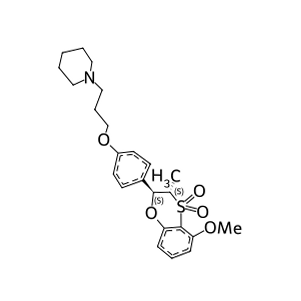 COc1cccc2c1S(=O)(=O)[C@@H](C)[C@H](c1ccc(OCCCN3CCCCC3)cc1)O2